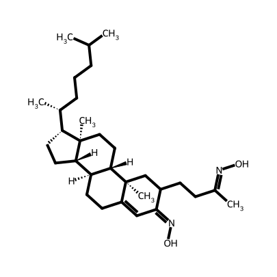 CC(CCC1C[C@@]2(C)C(=CC1=NO)CC[C@H]1[C@@H]3CC[C@H]([C@H](C)CCCC(C)C)[C@@]3(C)CC[C@@H]12)=NO